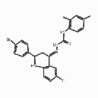 Cc1ccc(NC(=O)NN=C2CC(c3ccc(Br)cc3)Nc3ccc(Cl)cc32)c(C)c1